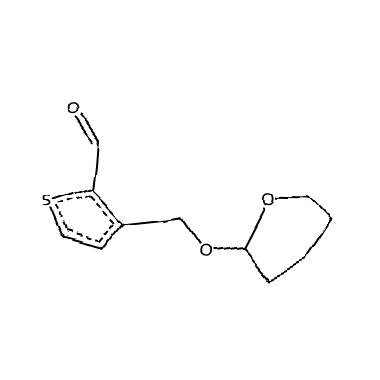 O=Cc1sccc1COC1CCCCO1